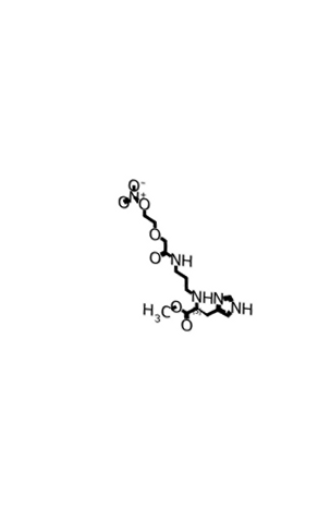 COC(=O)[C@H](Cc1c[nH]cn1)NCCCNC(=O)COCCO[N+](=O)[O-]